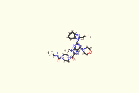 CCNC(=O)N1CCN(C(=O)c2nc3c(N4CCOCC4)nc(-n4c(CC)nc5ccccc54)nc3n2C)CC1